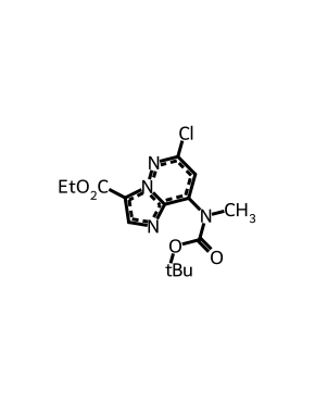 CCOC(=O)c1cnc2c(N(C)C(=O)OC(C)(C)C)cc(Cl)nn12